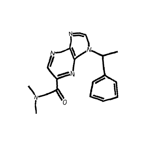 CC(c1ccccc1)n1cnc2ncc(C(=O)N(C)C)nc21